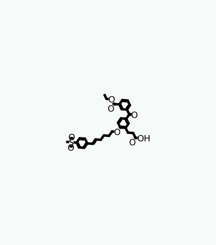 CCOC(=O)c1cccc(C(=O)c2ccc(OCCCCC=Cc3ccc(S(C)(=O)=O)cc3)c(CCC(=O)O)c2)c1